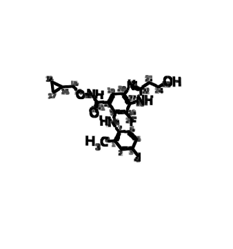 Cc1cc(I)ccc1Nc1c(C(=O)NOCC2CC2)cc2nc(CCO)[nH]c2c1F